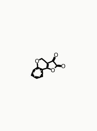 O=C1OC2=C(COc3ccccc32)C1=O